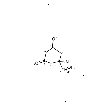 CC1(C)CC(=O)CC(=O)C1.O